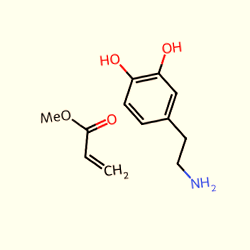 C=CC(=O)OC.NCCc1ccc(O)c(O)c1